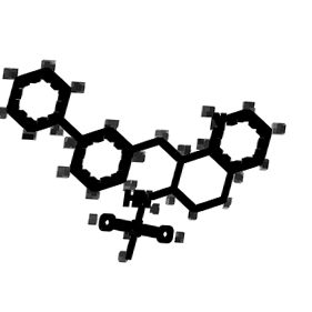 CS(=O)(=O)NC1CCc2cccnc2C1Cc1cccc(-c2ccccc2)c1